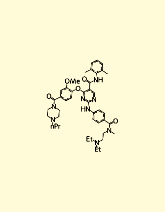 CCCN1CCN(C(=O)c2ccc(Oc3nc(Nc4ccc(C(=O)N(C)CCN(CC)CC)cc4)ncc3C(=O)Nc3c(C)cccc3C)c(OC)c2)CC1